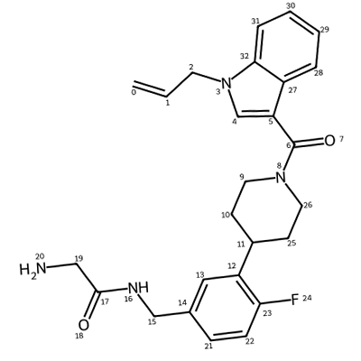 C=CCn1cc(C(=O)N2CCC(c3cc(CNC(=O)CN)ccc3F)CC2)c2ccccc21